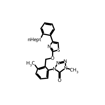 CCCCCCCc1ccccc1-c1csc(OCc2c(C)cccc2-n2nnn(C)c2=O)n1